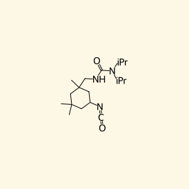 CC(C)N(C(=O)NCC1(C)CC(N=C=O)CC(C)(C)C1)C(C)C